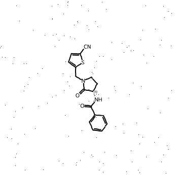 N#Cc1ccc(CN2CC[C@H](NC(=O)c3ccccc3)C2=O)s1